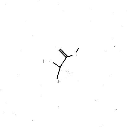 CCOC(=O)[C@](C)(S)CC